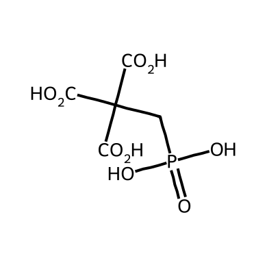 O=C(O)C(CP(=O)(O)O)(C(=O)O)C(=O)O